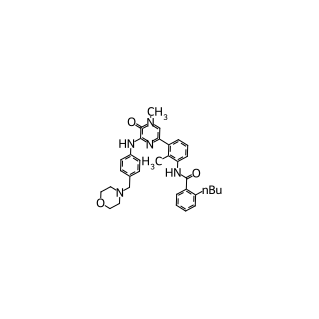 CCCCc1ccccc1C(=O)Nc1cccc(-c2cn(C)c(=O)c(Nc3ccc(CN4CCOCC4)cc3)n2)c1C